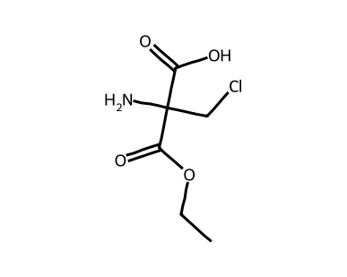 CCOC(=O)C(N)(CCl)C(=O)O